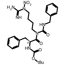 CC(C)(C)OC(=O)N[C@@H](Cc1ccccc1)C(=O)N(CCCCN(C(=N)N)[N+](=O)[O-])C(=O)NCc1ccccc1